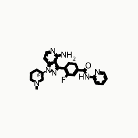 CN1CCC[C@@H](n2nc(C3=C(F)C=C(C(=O)Nc4ccccn4)CC3)c3c(N)nccc32)C1